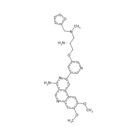 COc1cc2ncc3c(N)nc(-c4cncc(OC[C@H](N)CN(C)Cc5ccco5)c4)cc3c2cc1OC